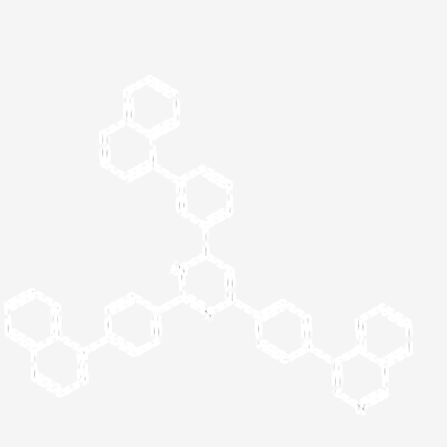 C1=C(c2ccc(-c3cncc4ccccc34)cc2)N=C(c2ccc(-c3cccc4ccccc34)cc2)NC1c1cccc(-c2cccc3ccccc23)c1